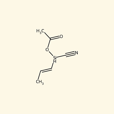 CC=C[SiH](C#N)OC(C)=O